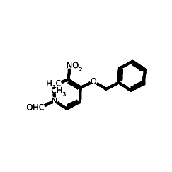 C/C(=C(\C=C/N(C)C=O)OCc1ccccc1)[N+](=O)[O-]